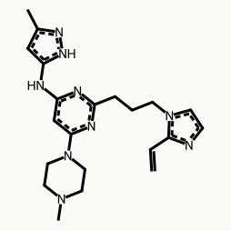 C=Cc1nccn1CCCc1nc(Nc2cc(C)n[nH]2)cc(N2CCN(C)CC2)n1